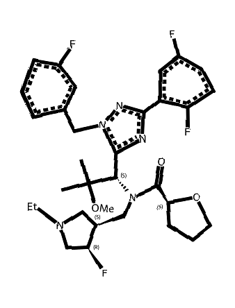 CCN1C[C@@H](CN(C(=O)[C@@H]2CCCO2)[C@@H](c2nc(-c3cc(F)ccc3F)nn2Cc2cccc(F)c2)C(C)(C)OC)[C@@H](F)C1